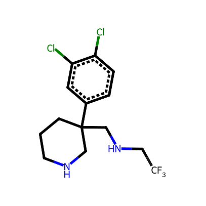 FC(F)(F)CNCC1(c2ccc(Cl)c(Cl)c2)CCCNC1